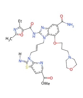 [H]/N=c1/sc2cc(C(=O)OC)cnc2n1CC=CCn1c(NC(=O)c2oc(C)nc2CC)nc2cc(C(N)=O)cc(OCCCN3CCOCC3)c21